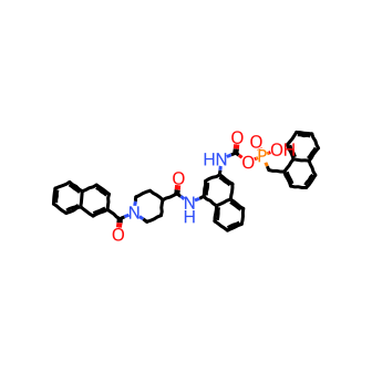 O=C(Nc1cc(NC(=O)C2CCN(C(=O)c3ccc4ccccc4c3)CC2)c2ccccc2c1)OP(=O)(O)Cc1cccc2ccccc12